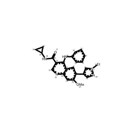 CCn1cc(-c2cc3c(Nc4ccccc4)c(C(=O)NC4CC4)cnc3cc2OC)cn1